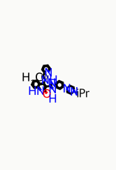 CC(C)N1CCN(c2ccc3nc(-c4c(N[C@@H](C)c5ccccn5)c5ccccc5[nH]c4=O)[nH]c3c2)CC1